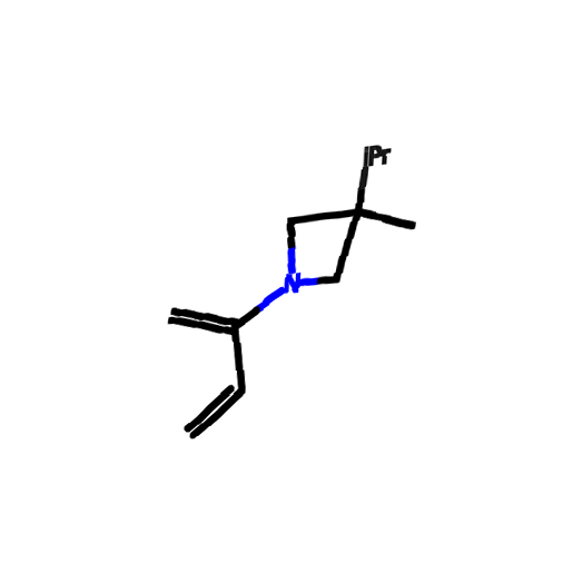 C=CC(=C)N1CC(C)(C(C)C)C1